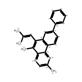 CC(C)=Cc1c(C)c2ncc(C)nc2c2ccc(-c3ccccc3)cc12